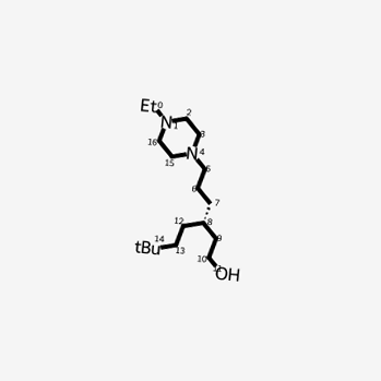 CCN1CCN(CCC[C@H](CCO)CCC(C)(C)C)CC1